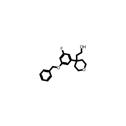 OCCC1(c2cc(F)cc(OCc3ccccc3)c2)CCOCC1